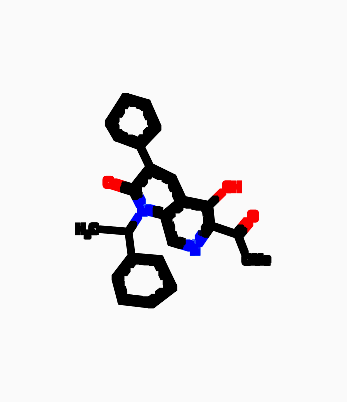 COC(=O)c1ncc2c(cc(-c3ccccc3)c(=O)n2C(C)c2ccccc2)c1O